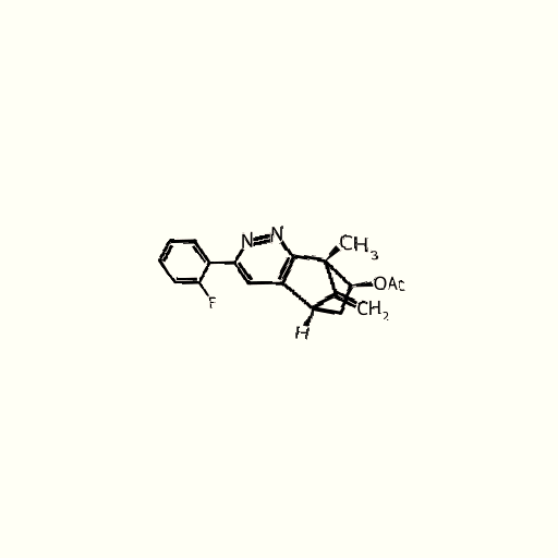 C=C1[C@@H]2C[C@H](OC(C)=O)[C@@]1(C)c1nnc(-c3ccccc3F)cc12